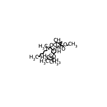 C=CCCCCN(C)C(=O)C1CC(O[Si](C)(C)C(C)(C)C)CN1C(=O)N[C@]1(C(=O)OCC)CC1C=C